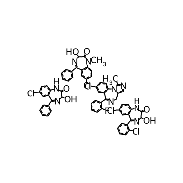 CN1C(=O)C(O)N=C(c2ccccc2)c2cc(Cl)ccc21.Cc1ncc2n1-c1ccc(Cl)cc1C(c1ccccc1F)=NC2.O=C1Nc2ccc(Cl)cc2C(c2ccccc2)=NC1O.O=C1Nc2ccc(Cl)cc2C(c2ccccc2Cl)=NC1O